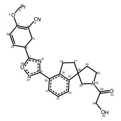 CC(C)OC1=C(C#N)CC(c2nc(-c3cccc4c3CCC43CCN(C(=O)CO)C3)no2)C=C1